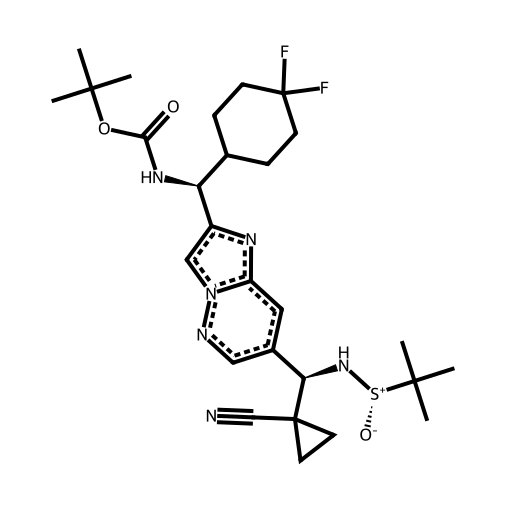 CC(C)(C)OC(=O)N[C@H](c1cn2ncc([C@@H](N[S@@+]([O-])C(C)(C)C)C3(C#N)CC3)cc2n1)C1CCC(F)(F)CC1